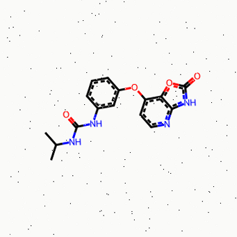 CC(C)NC(=O)Nc1cccc(Oc2ccnc3[nH]c(=O)oc23)c1